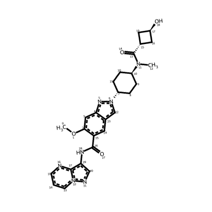 COc1cc2nn([C@H]3CC[C@H](N(C)C(=O)[C@H]4C[C@H](O)C4)CC3)cc2cc1C(=O)Nc1cnn2cccnc12